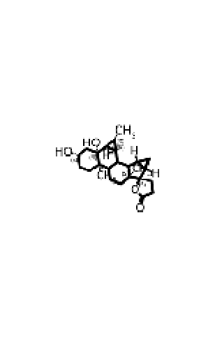 C[C@@H]1[C@@H]2C3C4[C@@H]5C[C@@H]5[C@@]5(CCC(=O)O5)[C@@]4(C)CCC3[C@@]3(C)CC[C@H](O)C[C@@]3(O)[C@H]12